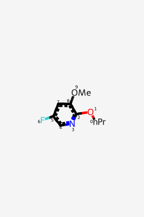 CCCOc1ncc(F)cc1OC